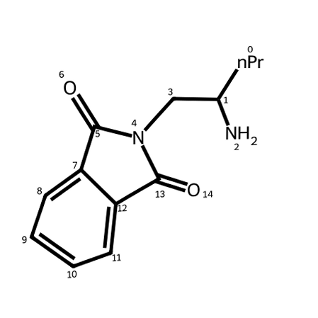 CCCC(N)CN1C(=O)c2ccccc2C1=O